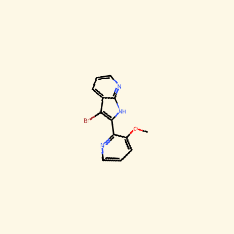 COc1cccnc1-c1[nH]c2ncccc2c1Br